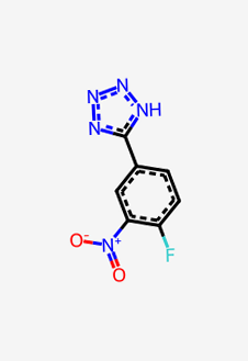 O=[N+]([O-])c1cc(-c2nnn[nH]2)ccc1F